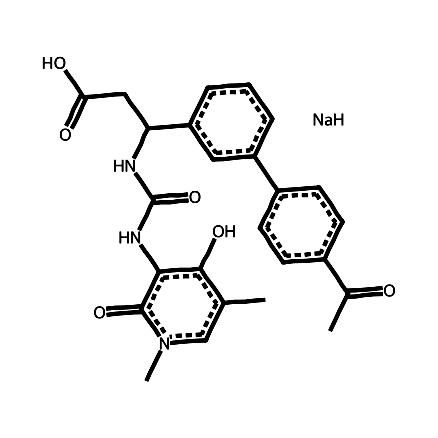 CC(=O)c1ccc(-c2cccc(C(CC(=O)O)NC(=O)Nc3c(O)c(C)cn(C)c3=O)c2)cc1.[NaH]